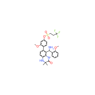 COc1cc(OS(=O)(=O)CCC(F)(F)F)ccc1-c1ccc2c(c1C(N)c1ccccc1OC)N(C)C(=O)C(C)(C)N2